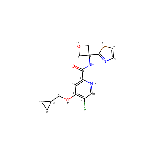 O=C(NC1(c2nccs2)COC1)c1cc(OCC2CC2)c(Cl)cn1